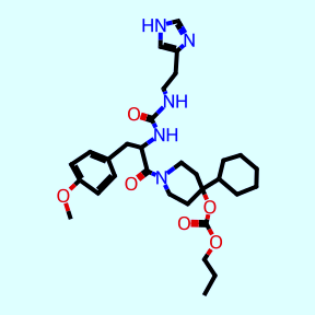 CCCOC(=O)OC1(C2CCCCC2)CCN(C(=O)C(Cc2ccc(OC)cc2)NC(=O)NCCc2c[nH]cn2)CC1